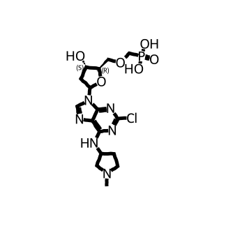 CN1CCC(Nc2nc(Cl)nc3c2ncn3C2C[C@H](O)[C@@H](COCP(=O)(O)O)O2)C1